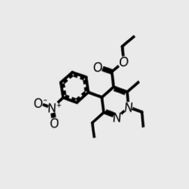 CCOC(=O)C1=C(C)N(CC)N=C(CC)C1c1cccc([N+](=O)[O-])c1